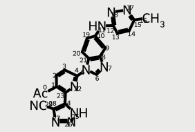 CC(=O)c1ccc(-n2cnc3cc(Nc4ccc(C)nn4)ccc32)nc1-c1[nH]nnc1C#N